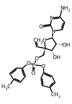 C=C[C@]1(COP(=O)(Oc2ccc(C)cc2)Oc2ccc(C)cc2)O[C@@H](n2ccc(N)nc2=O)[C@H](O)[C@@H]1O